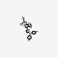 Cc1ccc(N(c2ccc(C)cc2)c2ccc(-c3cnc(N=C(C#N)C#N)c4nsnc34)s2)cc1